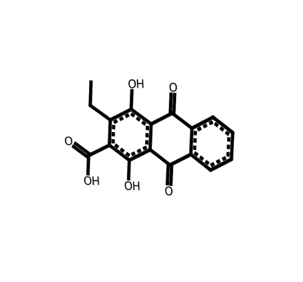 CCc1c(O)c2c(c(O)c1C(=O)O)C(=O)c1ccccc1C2=O